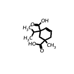 CC(C)C1(C(=O)O)C=CCC(C)(C(=O)O)C1